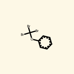 BrC(Br)(Br)Oc1cc[c]cc1